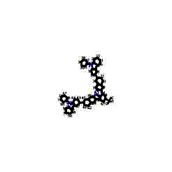 CC(C)(C)c1cc2c3cc4ccc(-c5ccc6c(c5)c5ccccc5n6-c5ccccc5)cc4cc3n3c4cc5cc(-c6ccc7c(c6)c6ccccc6n7-c6ccccc6)ccc5cc4c(c1)c23